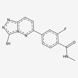 CNC(=O)c1ccc(-c2ccc3nnc(S)n3n2)cc1F